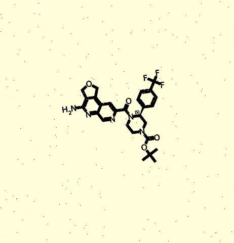 CC(C)(C)OC(=O)N1CCN(C(=O)c2cc3c4c(c(N)nc3cn2)COC4)[C@@H](c2ccc(C(F)(F)F)cc2)C1